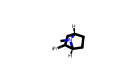 CC(C)C1C[C@@H]2CC[C@H]1N2C